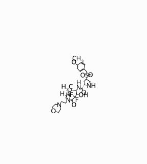 COc1ccc(CS(=O)(=O)[C@H]2CN[C@H](C(=O)NC(C(C)C)C(O)C(F)(F)C(=O)NCCN3CCOCC3)C2)cc1